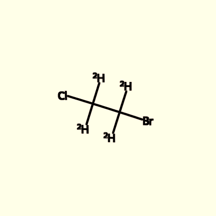 [2H]C([2H])(Cl)C([2H])([2H])Br